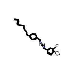 CCCCCCCc1ccc(/C=N/N=C/c2ccc(Cl)c(F)c2)cc1